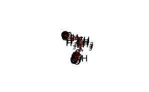 CC(C)(C)c1ccc(I)cc1.CC(C)(C)c1ccc(I)cc1.O=C(O)C(F)(F)C(F)(F)C(F)(F)C(F)(F)S(=O)(=O)[O-].O=C(O)C(F)(F)C(F)(F)C(F)(F)S(=O)(=O)[O-].O=C([O-])C(F)(F)C(F)(F)C(F)(F)S(=O)(=O)[O-].c1ccc([S+](c2ccccc2)c2ccccc2)cc1.c1ccc([S+](c2ccccc2)c2ccccc2)cc1.c1ccc([S+](c2ccccc2)c2ccccc2)cc1.c1ccc([S+](c2ccccc2)c2ccccc2)cc1